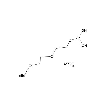 CCCCOCCOCCOP(O)O.[MgH2]